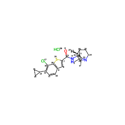 CC1(C)[C@H](NC(=O)c2cc3ccc(C4CC4)c(Cl)c3s2)C2CCN1CC2.Cl